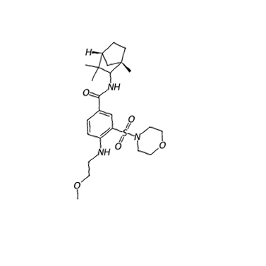 COCCNc1ccc(C(=O)NC2C(C)(C)[C@@H]3CC[C@@]2(C)C3)cc1S(=O)(=O)N1CCOCC1